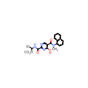 CCC(NC(=O)c1ncc(C(=O)N(C)c2cccc3ccccc23)c(O)n1)C(=O)O